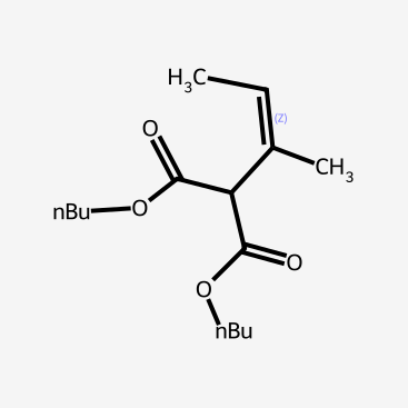 C/C=C(/C)C(C(=O)OCCCC)C(=O)OCCCC